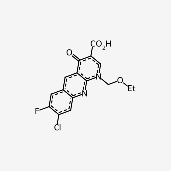 CCOCn1cc(C(=O)O)c(=O)c2cc3cc(F)c(Cl)cc3nc21